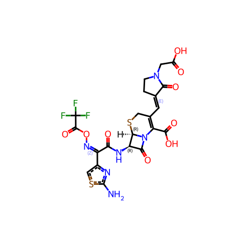 Nc1nc(/C(=N/OC(=O)C(F)(F)F)C(=O)N[C@@H]2C(=O)N3C(C(=O)O)=C(/C=C4\CCN(CC(=O)O)C4=O)CS[C@H]23)cs1